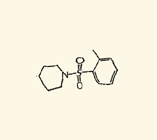 Cc1ccccc1S(=O)(=O)N1CC[CH]CC1